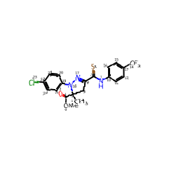 COC(=O)C1(C)CC(C(=S)Nc2ccc(C(F)(F)F)cc2)=NN1c1ccc(Cl)cc1